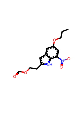 CCCOc1cc([N+](=O)[O-])c2[nH]c(CCOC=O)cc2c1